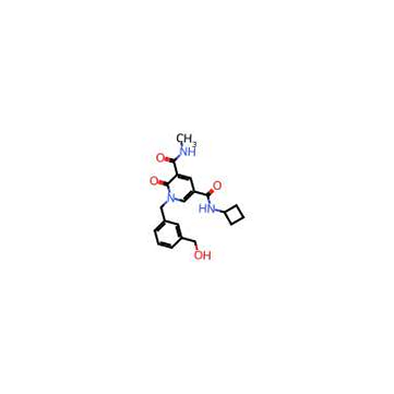 CNC(=O)c1cc(C(=O)NC2CCC2)cn(Cc2cccc(CO)c2)c1=O